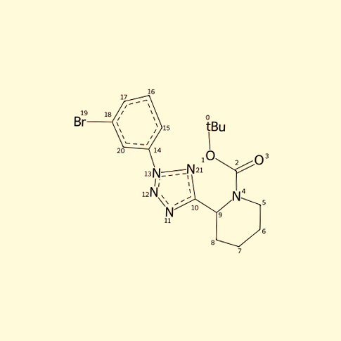 CC(C)(C)OC(=O)N1CCCCC1c1nnn(-c2cccc(Br)c2)n1